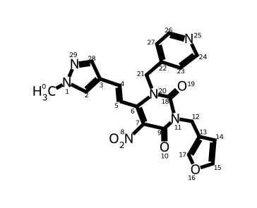 Cn1cc(C=Cc2c([N+](=O)[O-])c(=O)n(Cc3ccoc3)c(=O)n2Cc2ccncc2)cn1